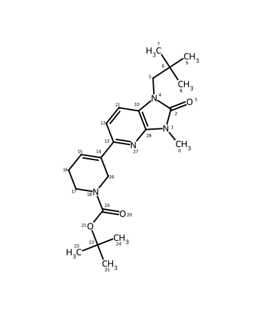 Cn1c(=O)n(CC(C)(C)C)c2ccc(C3=CCCN(C(=O)OC(C)(C)C)C3)nc21